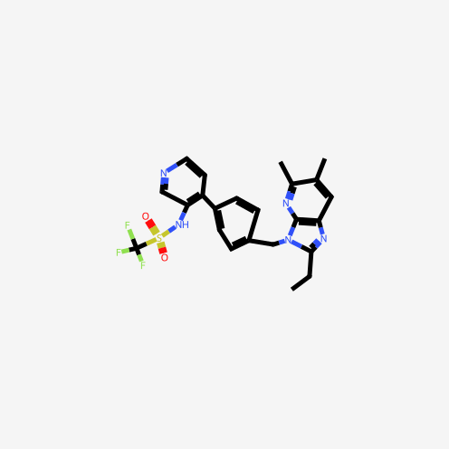 CCc1nc2cc(C)c(C)nc2n1Cc1ccc(-c2ccncc2NS(=O)(=O)C(F)(F)F)cc1